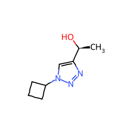 C[C@H](O)c1cn(C2CCC2)nn1